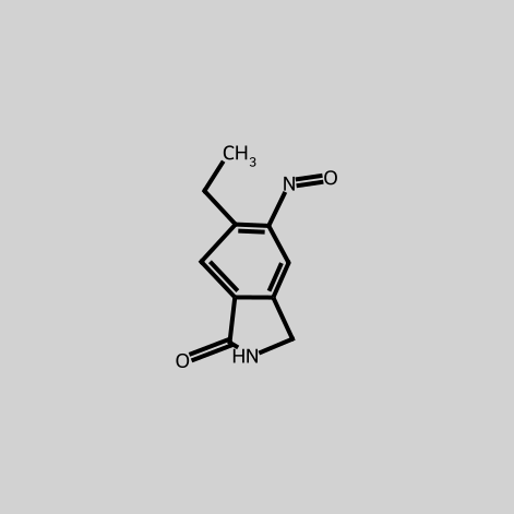 CCc1cc2c(cc1N=O)CNC2=O